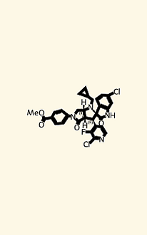 COC(=O)c1ccc(N2C[C@H]3[C@@H](C2=O)[C@H](c2ccnc(Cl)c2F)[C@]2(C(=O)Nc4cc(Cl)ccc42)N3CC2CC2)cc1